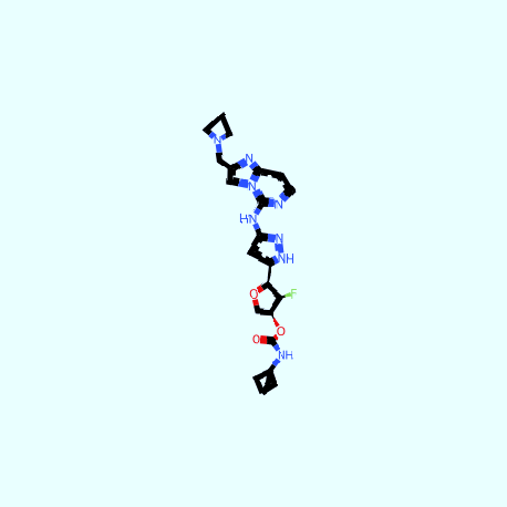 O=C(NC12CC(C1)C2)O[C@H]1CO[C@@H](c2cc(Nc3nccc4nc(CN5CCC5)cn34)n[nH]2)[C@H]1F